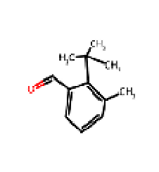 Cc1cccc(C=O)c1C(C)(C)C